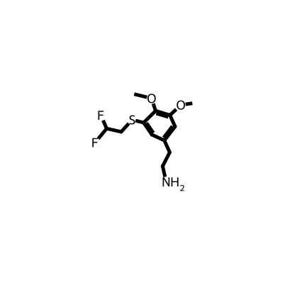 COc1cc(CCN)cc(SCC(F)F)c1OC